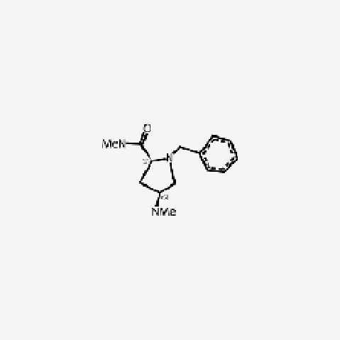 CNC(=O)[C@@H]1C[C@H](NC)CN1Cc1ccccc1